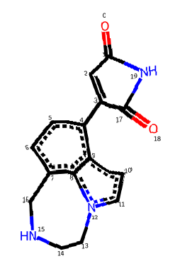 O=C1C=C(c2ccc3c4c2ccn4CCNC3)C(=O)N1